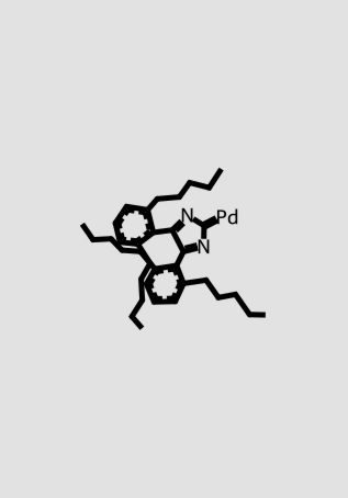 CCCCCc1cccc(CCCCC)c1C1=N[C](=[Pd])N=C1c1c(CCCCC)cccc1CCCCC